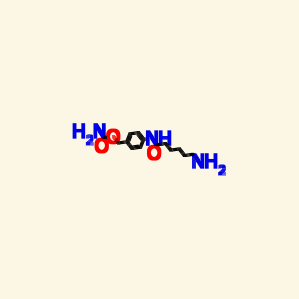 NCCCCCC(=O)Nc1ccc(COC(N)=O)cc1